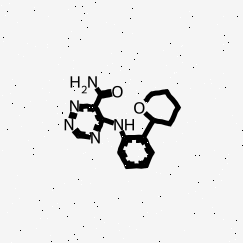 NC(=O)c1nncnc1Nc1ccccc1C1CCCCO1